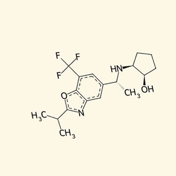 CC(C)c1nc2cc([C@@H](C)N[C@H]3CCC[C@H]3O)cc(C(F)(F)F)c2o1